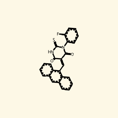 O=C1NC(=S)N(c2ccccc2F)C(=O)C1=Cc1c2ccccc2cc2ccccc12